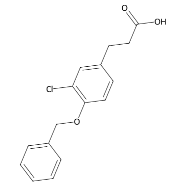 O=C(O)CCc1ccc(OCc2ccccc2)c(Cl)c1